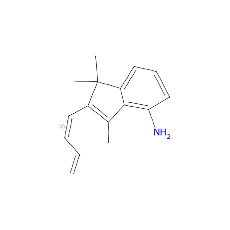 C=C/C=C\C1=C(C)c2c(N)cccc2C1(C)C